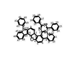 C1=CC2c3c(ccc(-c4ccccn4)c3-c3nc(-c4ccccc4)nc(-c4ccccc4)n3)OC2c2c1n(-c1ccccc1)c1ccccc21